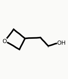 O[CH]CC1COC1